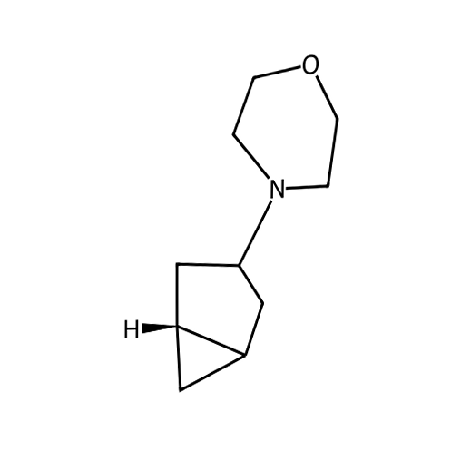 C1CN(C2CC3C[C@@H]3C2)CCO1